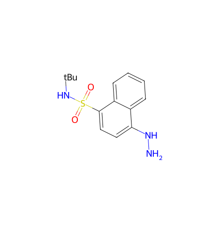 CC(C)(C)NS(=O)(=O)c1ccc(NN)c2ccccc12